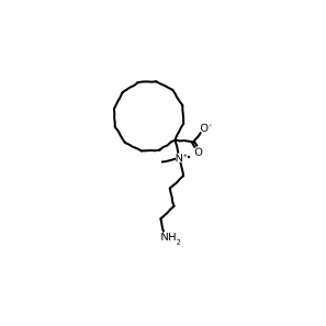 C[N+](C)(CCCCN)C1(C(=O)[O-])CCCCCCCCCCC1